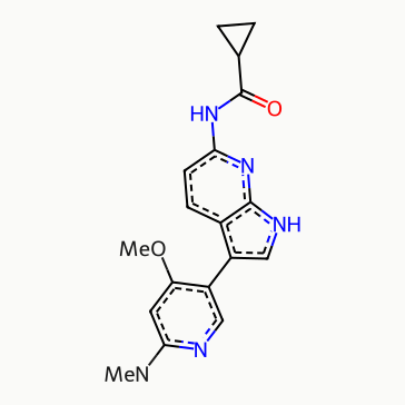 CNc1cc(OC)c(-c2c[nH]c3nc(NC(=O)C4CC4)ccc23)cn1